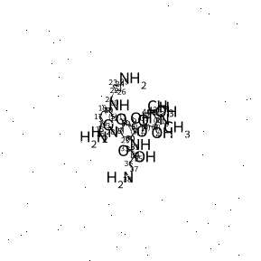 CN[C@@H]1[C@@H](O)[C@@H](O[C@@H]2[C@@H](O)[C@H](O[C@H]3OC(CN)=CC[C@H]3NC[C@H]3C[C@H](N)C3)[C@@H](N)C[C@H]2NC(=O)[C@@H](O)CCN)OC[C@]1(C)O